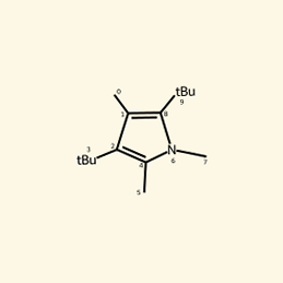 Cc1c(C(C)(C)C)c(C)n(C)c1C(C)(C)C